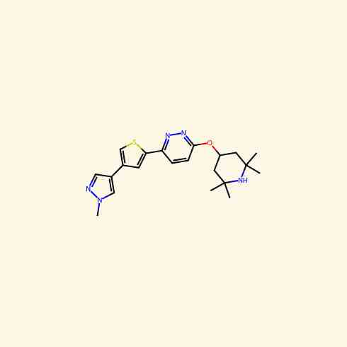 Cn1cc(-c2csc(-c3ccc(OC4CC(C)(C)NC(C)(C)C4)nn3)c2)cn1